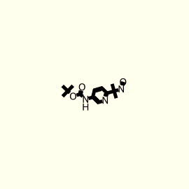 CC(C)(C)OC(=O)Nc1ccc(C(C)(C)N=O)nc1